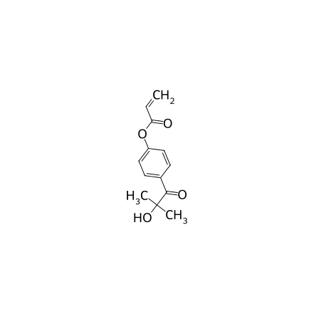 C=CC(=O)Oc1ccc(C(=O)C(C)(C)O)cc1